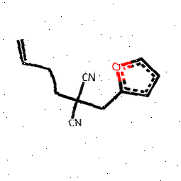 C=CCCC(C#N)(C#N)Cc1ccco1